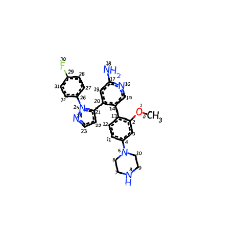 COc1cc(N2CCNCC2)ccc1-c1cnc(N)cc1-c1ccnn1-c1ccc(F)cc1